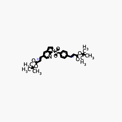 CC(C)(C)OC(=O)/C=C/c1ccc(S(=O)(=O)n2ccc3cc(/C=C/C(=O)OC(C)(C)C)cnc32)cc1